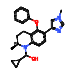 C[C@H]1CCc2c(ccc(-c3cn(C)cn3)c2Oc2ccccc2)N1C(O)C1CC1